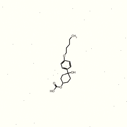 CCCCCOc1ccc(C2(O)CCC(OC(=O)O)CC2)cc1